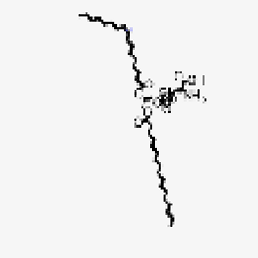 CCCCCCC/C=C\CCCCCCCC(=O)O[C@H](COC(=O)CCCCCCCCCCCCCCCC)COP(=O)(O)OC[C@H](N)C(=O)O